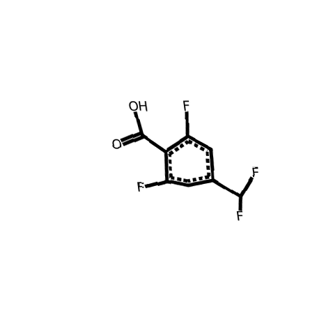 O=C(O)c1c(F)cc(C(F)F)cc1F